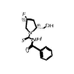 O=C(NC(=S)N1C[C@@H](F)C[C@@H]1CO)c1ccccc1